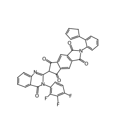 O=C1c2cc3c(cc2C(=O)C1c1nc2ccccc2c(=O)n1-c1ccc(F)c(F)c1F)C(=O)N(c1ccccc1C1=CC=CC1)C3=O